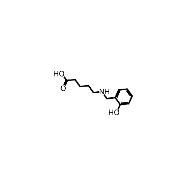 O=C(O)CCCCNCc1ccccc1O